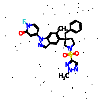 Cc1cc2c(cnn2-c2ccn(F)c(=O)c2)cc1C1(Cc2ccccc2)CCN(S(=O)(=O)c2cnn(C)n2)C1